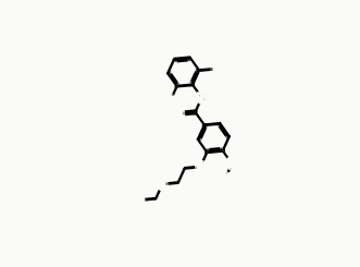 CCOCCOc1cc(C(=O)Nc2c(F)cccc2F)ccc1OC